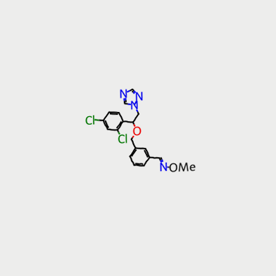 CON=Cc1cccc(COC(Cn2cncn2)c2ccc(Cl)cc2Cl)c1